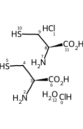 Cl.Cl.N[C@@H](CS)C(=O)O.N[C@@H](CS)C(=O)O.O